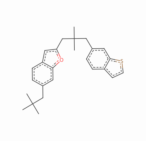 CC(C)(C)Cc1ccc2cc(CC(C)(C)Cc3ccc4ccsc4c3)oc2c1